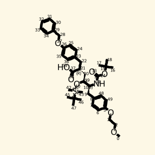 COCCOc1ccc(C[C@H](NC(=O)OC(C)(C)C)[C@H](C[C@@H](Cc2ccc(OCc3ccccc3)cc2)C(=O)O)O[Si](C)(C)C(C)(C)C)cc1